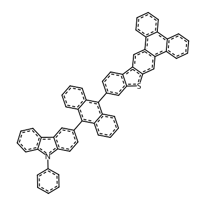 c1ccc(-n2c3ccccc3c3cc(-c4c5ccccc5c(-c5ccc6c(c5)sc5cc7c8ccccc8c8ccccc8c7cc56)c5ccccc45)ccc32)cc1